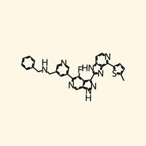 Cc1ccc(-c2nccc3[nH]c(-c4n[nH]c5cnc(-c6cncc(CNCc7ccccc7)c6)c(F)c45)nc23)s1